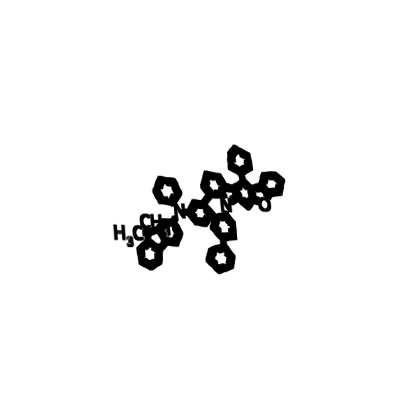 CC1(C)c2ccccc2-c2ccc(N(c3ccccc3)c3cccc(-c4cccc5c6c(-c7ccccc7)c7c(cc6n(-c6ccc(-c8ccccc8)cc6)c45)oc4ccccc47)c3)cc21